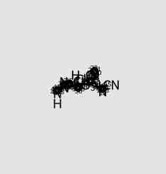 Cc1c(COc2cc(OCc3cncc(C#N)c3)c(CN3CCCC[C@H]3C)cc2Cl)cccc1-c1ccc2ncc(C3=CCCNC3)nc2c1